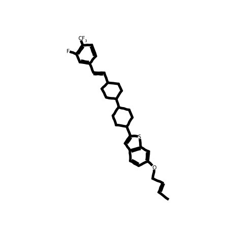 C/C=C/COc1ccc2cc(C3CCC(C4CCC(/C=C/c5ccc(C(F)(F)F)c(F)c5)CC4)CC3)sc2c1